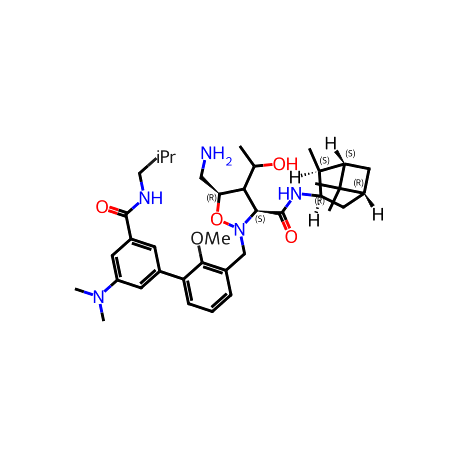 COc1c(CN2O[C@@H](CN)C(C(C)O)[C@H]2C(=O)N[C@@H]2C[C@H]3C[C@@H]([C@@H]2C)C3(C)C)cccc1-c1cc(C(=O)NCC(C)C)cc(N(C)C)c1